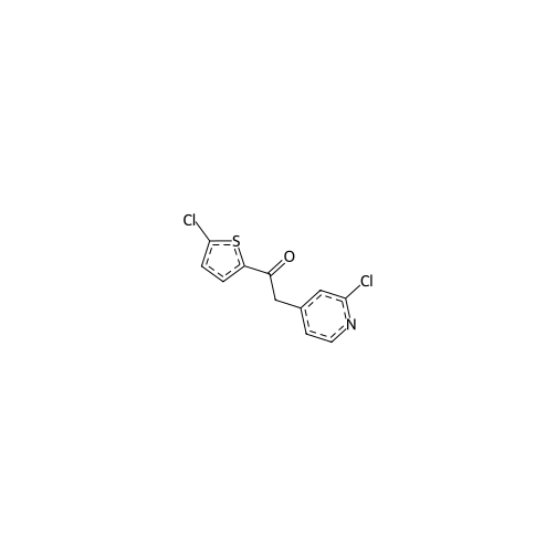 O=C(Cc1ccnc(Cl)c1)c1ccc(Cl)s1